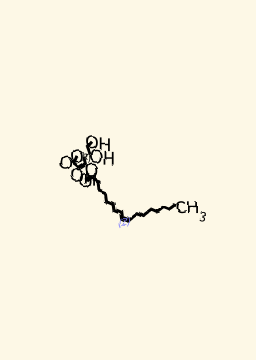 CCCCCCCC/C=C\CCCCCCCC(=O)OC1=C(O)C(=O)O[C@@H]1C(O)CO